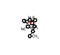 Cc1ccccc1-c1ccc2c3ccccc3n(-c3cc(C#N)cc(-n4c5ccccc5c5ccc(-c6ccccc6C)cc54)c3-c3c(C(F)(F)F)cccc3C(F)(F)F)c2c1